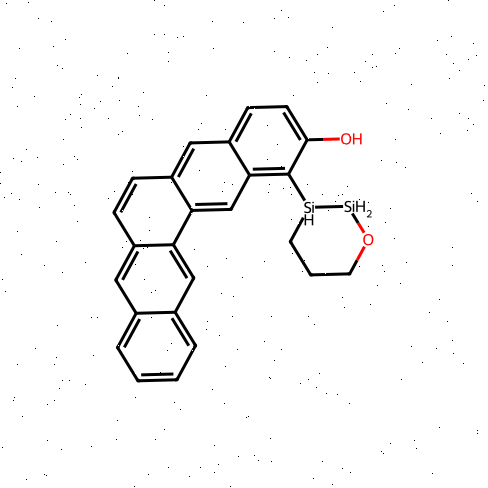 Oc1ccc2cc3ccc4cc5ccccc5cc4c3cc2c1[SiH]1CCCO[SiH2]1